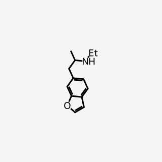 CCNC(C)Cc1ccc2ccoc2c1